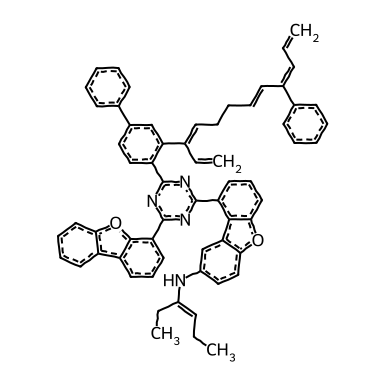 C=C/C=C(\C=CCC/C=C(\C=C)c1cc(-c2ccccc2)ccc1-c1nc(-c2cccc3c2oc2ccccc23)nc(-c2cccc3oc4ccc(N/C(=C/CC)CC)cc4c23)n1)c1ccccc1